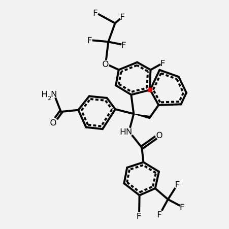 NC(=O)c1ccc([C@@](Cc2ccccc2)(NC(=O)c2ccc(F)c(C(F)(F)F)c2)c2cc(F)cc(OC(F)(F)C(F)F)c2)cc1